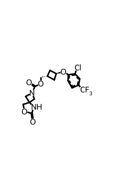 O=C1NC2(CO1)CN(C(=O)OC[C@H]1C[C@H](Oc3ccc(C(F)(F)F)cc3Cl)C1)C2